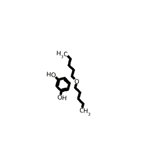 CCCCCOCCCCC.Oc1cccc(O)c1